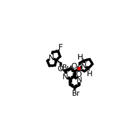 CC(C)(C)OC(=O)N1[C@@H]2CC[C@H]1CN(c1cc(OC[C@@]34CCCN3C[C@H](F)C4)nc3cc(Br)cnc13)C2